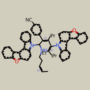 C/C=C\CCNC(/C(=C(\C(=C(/CC)C(C)C)n1c2ccccc2c2c3c(ccc21)oc1ccccc13)C(C)C)c1ccc(C#N)cc1)n1c2ccccc2c2c3c(ccc21)oc1ccccc13